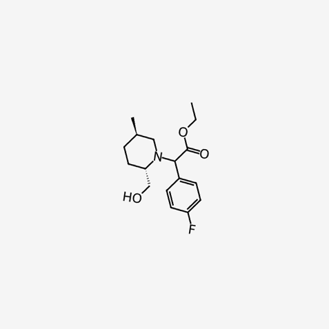 CCOC(=O)C(c1ccc(F)cc1)N1C[C@H](C)CC[C@H]1CO